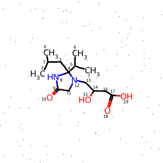 CC(C)CC1(C(C)C)NC(=O)CN1CC(O)CC(=O)O